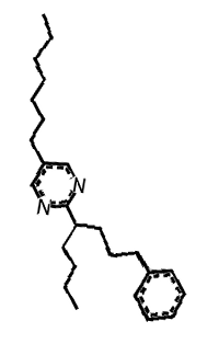 CCCCCCCc1cnc(C(CCCC)CCCc2ccccc2)nc1